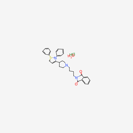 Cl.O.O=C1c2ccccc2C(=O)N1CCCCN1CCC(C2=CC=S(c3ccccc3)N2c2ccccc2)CC1